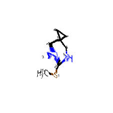 CSC1=NCC2(CC2)CN1